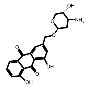 NC1C[C@@H](OCc2cc(O)c3c(c2)C(=O)c2cccc(O)c2C3=O)OC[C@@H]1O